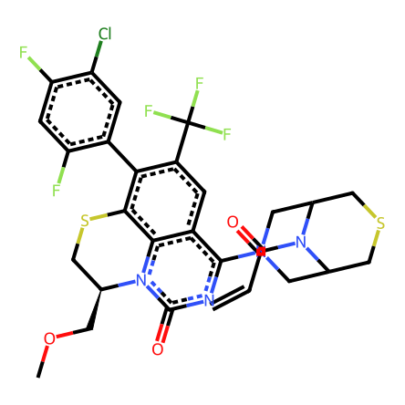 C=CC(=O)N1C2CSCC1CN(c1nc(=O)n3c4c(c(-c5cc(Cl)c(F)cc5F)c(C(F)(F)F)cc14)SC[C@@H]3COC)C2